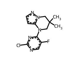 CC1(C)CN(c2nc(Cl)ncc2F)c2ccnn2C1